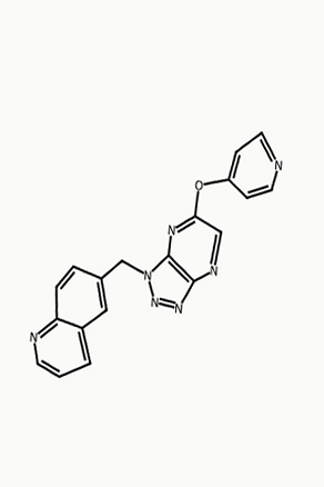 c1cnc2ccc(Cn3nnc4ncc(Oc5ccncc5)nc43)cc2c1